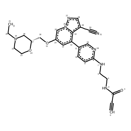 C#CC(=O)NCCNc1ccc(-c2cc(OC[C@H]3CN(CC)CCO3)cn3ncc(C#N)c23)cn1